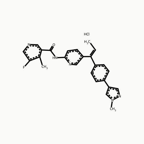 C/C=C(/c1ccc(-c2cnn(C)c2)cc1)c1ccc(NC(=O)c2cncc(F)c2C)nc1.Cl